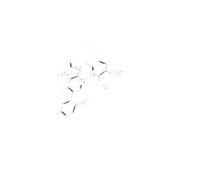 CCOc1nc([C@@H](CS(C)(=O)=O)n2c(=O)[nH]c3c(C)c(-c4ccccc4C(C)C)cnc32)ccc1OC